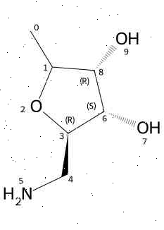 CC1O[C@H](CN)[C@@H](O)[C@H]1O